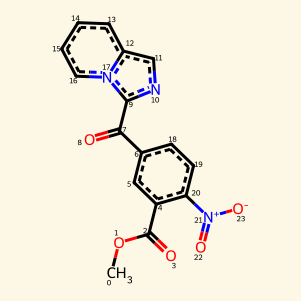 COC(=O)c1cc(C(=O)c2ncc3ccccn23)ccc1[N+](=O)[O-]